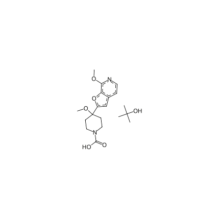 CC(C)(C)O.COc1nccc2cc(C3(OC)CCN(C(=O)O)CC3)oc12